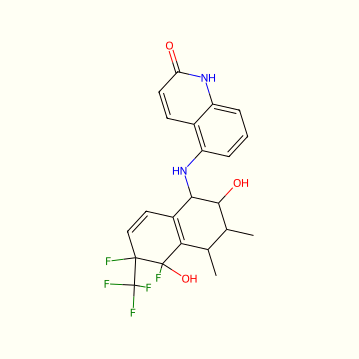 CC1C2=C(C=CC(F)(C(F)(F)F)C2(O)F)C(Nc2cccc3[nH]c(=O)ccc23)C(O)C1C